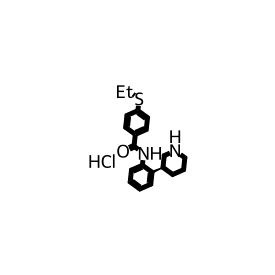 CCSc1ccc(C(=O)Nc2ccccc2[C@@H]2CCCNC2)cc1.Cl